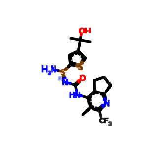 Cc1c(C(F)(F)F)nc2c(c1NC(=O)/N=S(/N)c1cc(C(C)(C)O)cs1)CCC2